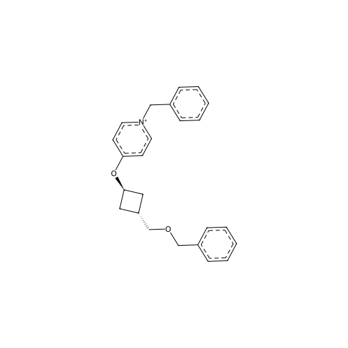 c1ccc(COC[C@H]2C[C@H](Oc3cc[n+](Cc4ccccc4)cc3)C2)cc1